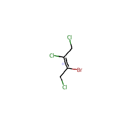 ClC/C(Cl)=C(\Br)CCl